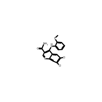 CSc1ccccc1Nc1c(C(N)=O)cnc2cc(Cl)c(Cl)cc12